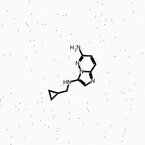 Nc1ccc2ncc(NCC3CC3)n2n1